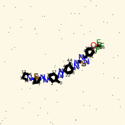 Cc1cc(/N=N/c2ccc(N3CCCC3)s2)ccc1/N=N/c1ccc(/N=N/c2nc(-c3ccc(OC(F)(F)F)cc3)ns2)c(C)c1